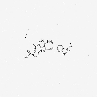 C=CC(=O)N1CC[C@H](n2nc(C#Cc3ccc4c(c3)ncn4C3CC3)c3c(N)ncc(C(C)=O)c32)C1